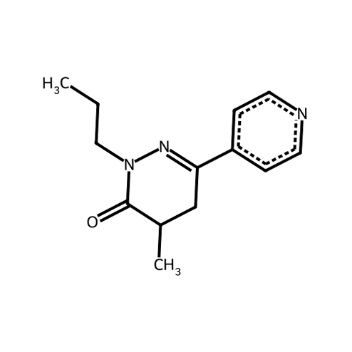 CCCN1N=C(c2ccncc2)CC(C)C1=O